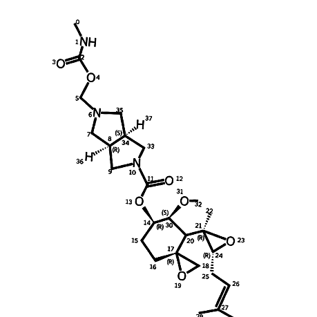 CNC(=O)OCN1C[C@@H]2CN(C(=O)O[C@@H]3CC[C@]4(CO4)C([C@@]4(C)O[C@@H]4CC=C(C)C)[C@@H]3OC)C[C@@H]2C1